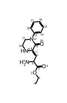 CCOC(=O)C(N)/C=C1\NCCN(c2ccccc2)C1=O